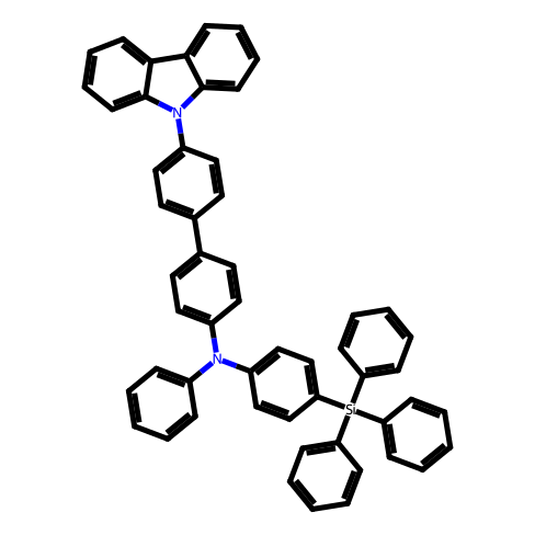 c1ccc(N(c2ccc(-c3ccc(-n4c5ccccc5c5ccccc54)cc3)cc2)c2ccc([Si](c3ccccc3)(c3ccccc3)c3ccccc3)cc2)cc1